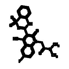 CN(C)C(=O)Cn1c(=O)c(C2=NS(=O)(=O)c3ccccc3N2)c(O)c2cc(F)ccc21